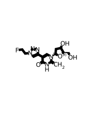 C=C1NC(=O)C(c2cn(CCF)nn2)=CN1[C@H]1CC(O)[C@@H](CO)O1